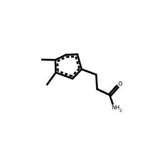 Cc1ccc(CCC(N)=O)cc1C